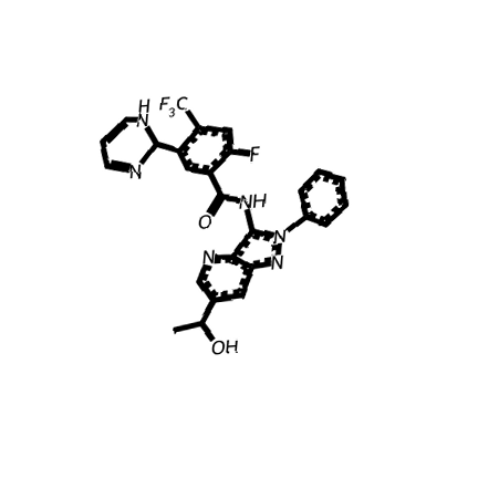 CC(O)c1cnc2c(NC(=O)c3cc(C4N=CC=CN4)c(C(F)(F)F)cc3F)n(-c3ccccc3)nc2c1